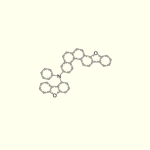 c1ccc(N(c2ccc3c(ccc4ccc5c(ccc6c7ccccc7oc65)c43)c2)c2cccc3oc4ccccc4c23)cc1